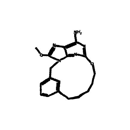 COc1nc2c(N)nc3nc2n1Cc1cccc(c1)CCCCCO3